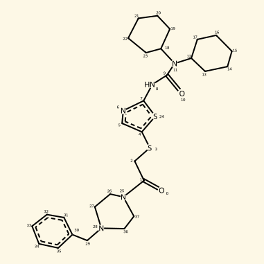 O=C(CSc1cnc(NC(=O)N(C2CCCCC2)C2CCCCC2)s1)N1CCN(Cc2ccccc2)CC1